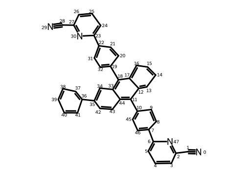 N#Cc1cccc(-c2ccc(-c3c4ccccc4c(-c4ccc(-c5cccc(C#N)n5)cc4)c4cc(-c5ccccc5)ccc34)cc2)n1